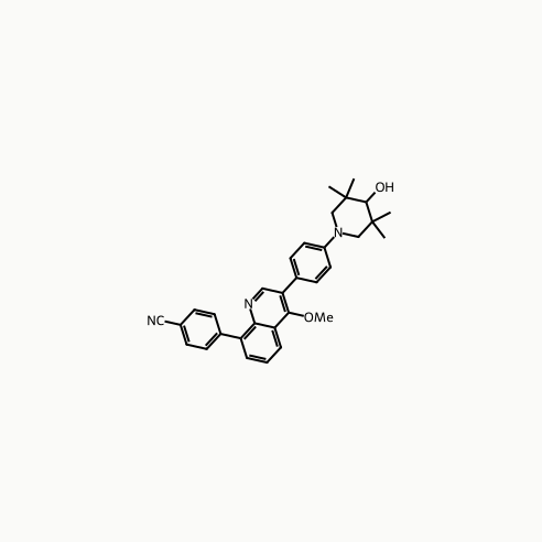 COc1c(-c2ccc(N3CC(C)(C)C(O)C(C)(C)C3)cc2)cnc2c(-c3ccc(C#N)cc3)cccc12